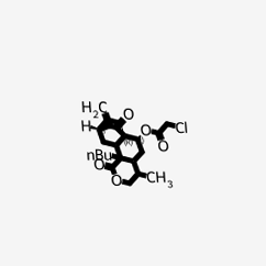 C=C1C(=O)[C@]23CC[C@H]1CC2C1(CCCC)C(=O)OCC(C)C1C[C@H]3OC(=O)CCl